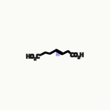 O=C(O)C/C=C/CCC(=O)O